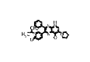 CC(C)n1cc(-c2nc3c(=O)c(N4CCCC4)c[nH]c3nc2-c2ccccc2)ccc1=O